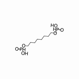 O=[PH](O)OCCCCCCCCO[PH](=O)O